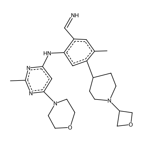 Cc1nc(Nc2cc(C3CCN(C4COC4)CC3)c(C)cc2C=N)cc(N2CCOCC2)n1